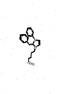 CCCCCCCCCCCCCCN1C=CN(c2ccccc2)C1Cc1ccccc1